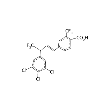 O=C(O)c1ccc(C=CC(c2cc(Cl)c(Cl)c(Cl)c2)C(F)(F)F)cc1C(F)(F)F